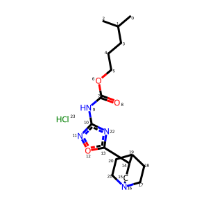 CC(C)CCCOC(=O)Nc1noc(C2CN3CCC2CC3)n1.Cl